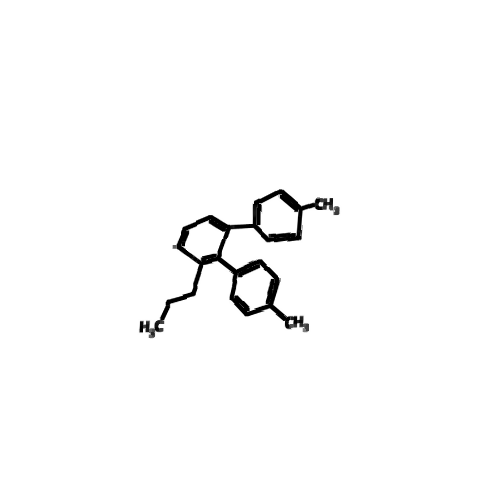 CCCc1[c]ccc(-c2ccc(C)cc2)c1-c1ccc(C)cc1